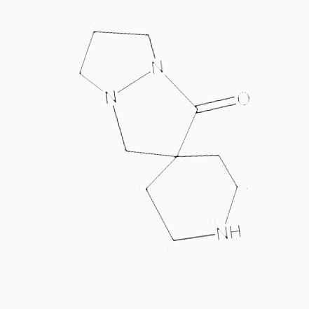 O=C1N2CCCN2CC12CCNCC2